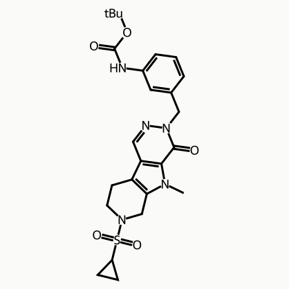 Cn1c2c(c3cnn(Cc4cccc(NC(=O)OC(C)(C)C)c4)c(=O)c31)CCN(S(=O)(=O)C1CC1)C2